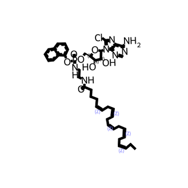 CC/C=C\C/C=C\C/C=C\C/C=C\C/C=C\CCCC(=O)NCCNP(=O)(OC[C@H]1OC(n2c(Cl)nc3c(N)ncnc32)[C@H](O)[C@@H]1O)Oc1cccc2ccccc12